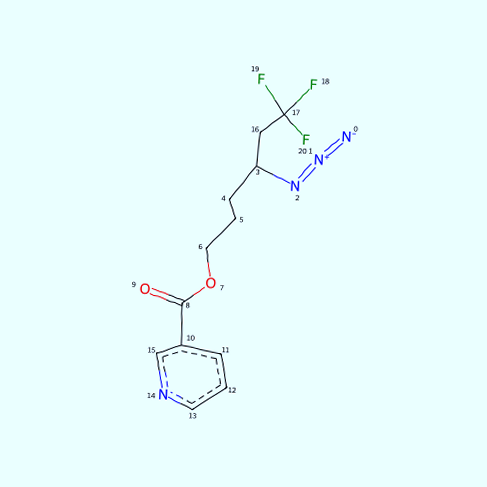 [N-]=[N+]=NC(CCCOC(=O)c1cccnc1)CC(F)(F)F